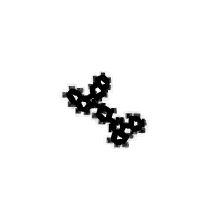 c1ccc2cc3c(cc2c1)c1c2ccccc2ccc1n3-c1ccc(-c2nc(-c3ccncc3)c3ccccc3n2)cc1